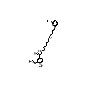 OCc1cc(C(O)CNCCCCCCOCCCCc2cccc(S)c2)ccc1O